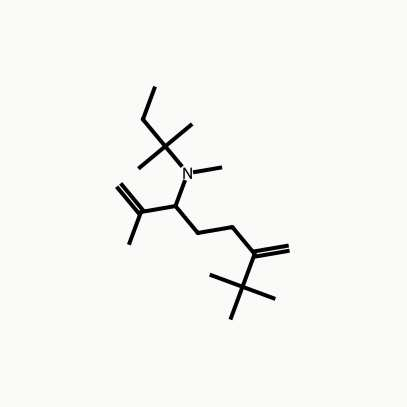 C=C(C)C(CCC(=C)C(C)(C)C)N(C)C(C)(C)CC